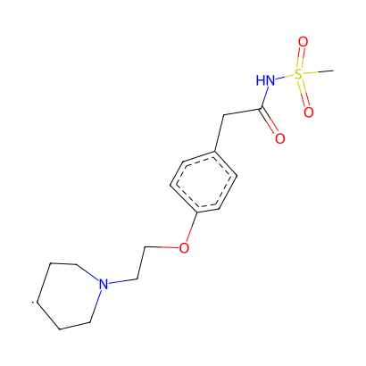 CS(=O)(=O)NC(=O)Cc1ccc(OCCN2CC[CH]CC2)cc1